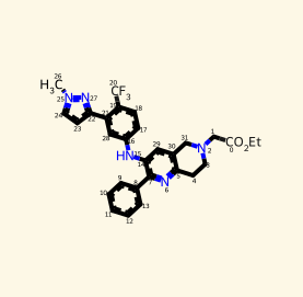 CCOC(=O)CN1CCc2nc(-c3ccccc3)c(Nc3ccc(C(F)(F)F)c(-c4ccn(C)n4)c3)cc2C1